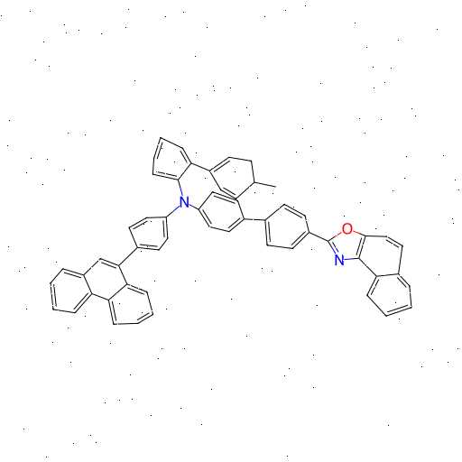 CC1C=CC(c2ccccc2N(c2ccc(-c3ccc(-c4nc5c(ccc6ccccc65)o4)cc3)cc2)c2ccc(-c3cc4ccccc4c4ccccc34)cc2)=CC1